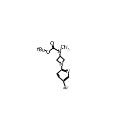 CN(C(=O)OC(C)(C)C)C1CN(c2ccc(Br)cn2)C1